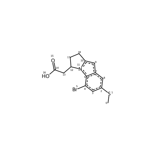 CSc1cc(Br)c2c(c1)cc1n2C(CC(=O)O)CC1